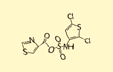 O=C(OS(=O)(=O)Nc1cc(Cl)sc1Cl)c1cscn1